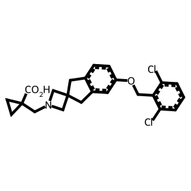 O=C(O)C1(CN2CC3(Cc4ccc(OCc5c(Cl)cccc5Cl)cc4C3)C2)CC1